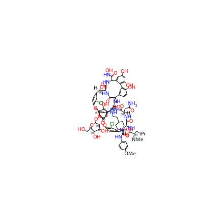 CN[C@H](CC(C)C)C(=O)NC1C(=O)N[C@@H](CC(N)=O)C(=O)N[C@H]2C(=O)N[C@H]3C(=O)NC(C(=O)NC(C(=O)NO)c4cc(O)cc(O)c4-c4cc3ccc4O)[C@H](O)c3ccc(c(Cl)c3)Oc3cc2cc(c3OC2O[C@H](CO)[C@@H](O)[C@H](O)[C@H]2OC2C[C@](C)(NCCC3CCN(C(=O)Nc4ccc(OC)cc4)CC3)[C@H](O)[C@H](C)O2)Oc2ccc(cc2Cl)[C@H]1O